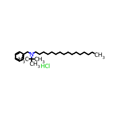 CCCCCCCCCCCCCCCCN(Cc1ccccc1)C(C)(C)C.Cl